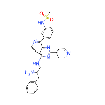 CS(=O)(=O)Nc1cccc(-c2nccc3c(NCC(N)Cc4ccccc4)nc(-c4ccncc4)nc23)c1